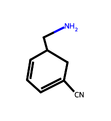 N#CC1=CC=CC(CN)C1